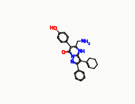 NCc1[nH]c2c(C3=CCCCC3)c(-c3ccccc3)nn2c(=O)c1-c1ccc(O)cc1